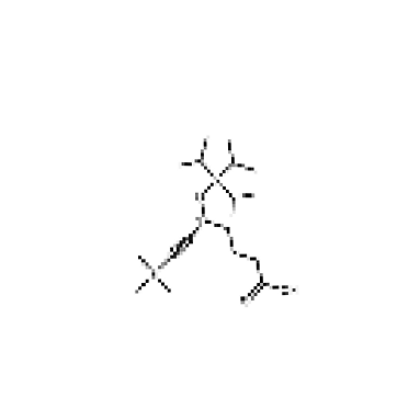 CC(C)[Si](O[C@H](C#C[Si](C)(C)C)CCCC(=O)O)(C(C)C)C(C)C